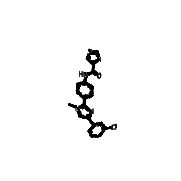 Cn1cc(-c2cccc(Cl)c2)nc1-c1ccc(NC(=O)c2cscn2)cc1